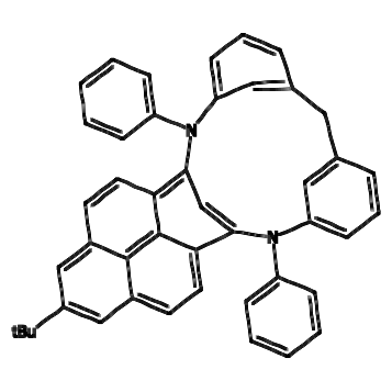 CC(C)(C)c1cc2ccc3c4cc(c5ccc(c1)c2c35)N(c1ccccc1)c1cccc(c1)Cc1cccc(c1)N4c1ccccc1